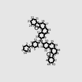 c1ccc(-c2ccc(N(c3ccc4c(ccc5ccc6c7ccccc7oc6c54)c3)c3ccc4c(ccc5ccc6c7ccccc7oc6c54)c3)cc2)nc1